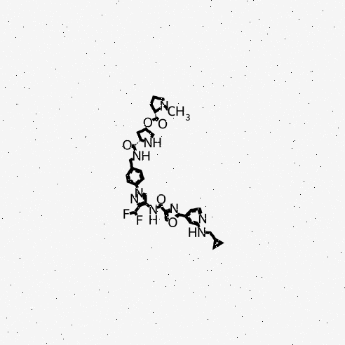 CN1CCC[C@H]1C(=O)O[C@H]1CN[C@H](C(=O)NCc2ccc(-n3cc(NC(=O)c4coc(-c5ccnc(NCC6CC6)c5)n4)c(C(F)F)n3)cc2)C1